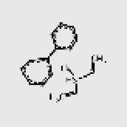 C=C[SiH](Cl)C=C.c1ccc(-c2ccccc2)cc1